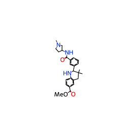 COC(=O)c1ccc2c(c1)CC(C)(C)C(c1cccc(C(=O)NC3CCN(C)C3)c1)N2